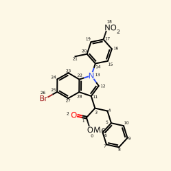 COC(=O)C(Cc1ccccc1)c1cn(-c2ccc([N+](=O)[O-])cc2C)c2ccc(Br)cc12